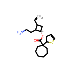 C=CC1C[C@H](OC(=O)C2(C3CC=CS3)CCCCCC2)C1CCN